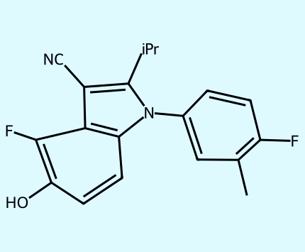 Cc1cc(-n2c(C(C)C)c(C#N)c3c(F)c(O)ccc32)ccc1F